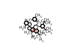 Cc1cc(C)cc(SC(Cc2cccc3c2[C@]2(CCc4cccc(N)c42)CC3)P(c2cc(C(C)(C)C)cc(C(C)(C)C)c2)c2cc(C(C)(C)C)cc(C(C)(C)C)c2)c1